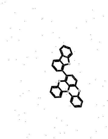 c1ccc2c(c1)Oc1ccc(-c3cccc4c3oc3ccccc34)c3c1B2c1ccccc1O3